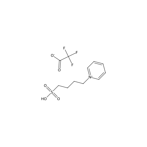 O=C([O-])C(F)(F)F.O=S(=O)(O)CCCC[n+]1ccccc1